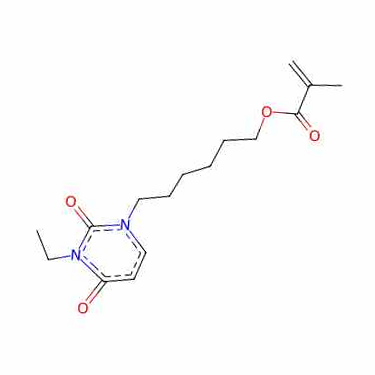 C=C(C)C(=O)OCCCCCCn1ccc(=O)n(CC)c1=O